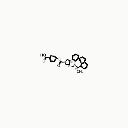 C[C@H](NC[C@@H]1CN(C(=O)Oc2ccc(C(=O)O)cc2)C[C@@H]1c1ccccc1)c1cccc2ccccc12